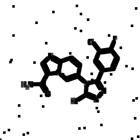 CCc1nnc(-c2ccc(F)c(Cl)c2)n1-c1ccc2ncc(C(N)=O)n2c1